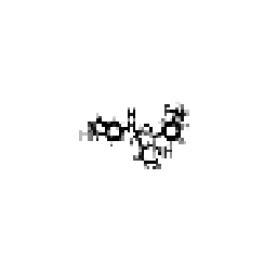 O=C(Nc1ccc2[nH]ncc2c1)OC(c1cccc(C(F)(F)F)c1)[C@@H]1CCCCN1